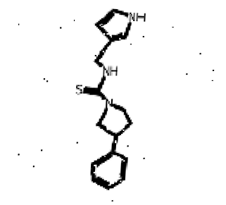 S=C(NCc1cc[nH]c1)N1CCC(c2ccccc2)C1